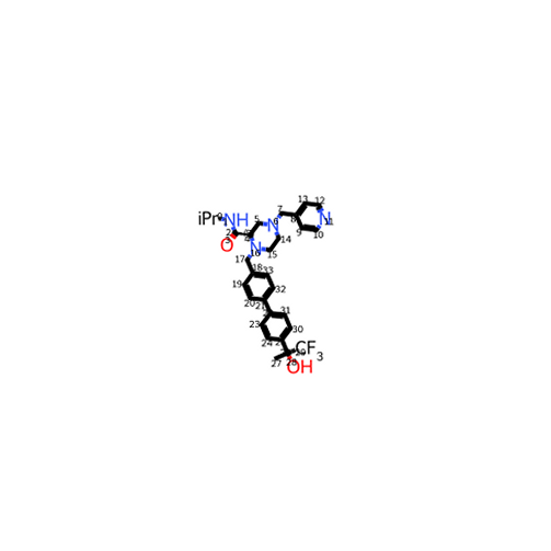 CC(C)NC(=O)[C@H]1CN(Cc2ccncc2)CCN1Cc1ccc(-c2ccc(C(C)(O)C(F)(F)F)cc2)cc1